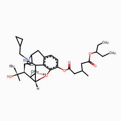 CC[C@]12C[C@H]([C@](C)(O)C(C)(C)C)[C@]3(OC)[C@H]4Oc5c(OC(=O)CC(C)CC(=O)OC(COC(C)=O)COC(C)=O)ccc6c5[C@@]1(CCN(CC1CC1)C2C6)[C@@H]43